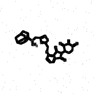 CN(Cc1csc(COc2cccc3c2C(=O)N(C2CCC(=O)NC2=O)C3=O)n1)C1C2CC3CC(C2)CC1C3